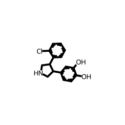 Oc1ccc(C2CNCC2c2ccccc2Cl)cc1O